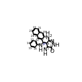 N=C1C(=O)NN=C(N)/C1=C(/Nc1ccccc1)c1ccc2ccccc2c1